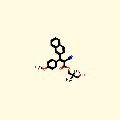 COc1ccc(/C(=C(/C#N)C(=O)OCC(C)(C)CO)c2ccc3ccccc3c2)cc1